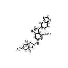 COc1nc(NC2C[C@@H]3CN(C(C)=O)C[C@@H]3C2)nc2[nH]cc(-c3ccc4ncnn4c3)c12